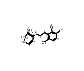 NC1=C(OCCc2c(Cl)ccc(F)c2Cl)C=[C]NN1